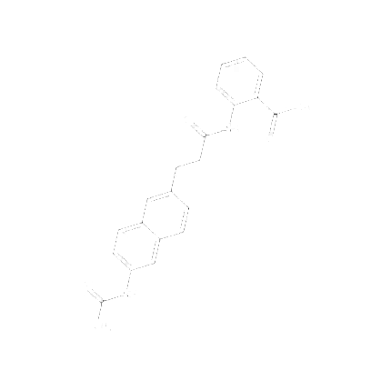 CC(=O)Nc1ccc2cc(CCC(=O)Nc3ccccc3C(=O)O)ccc2c1